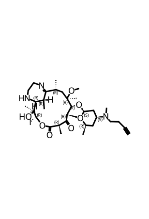 C#CCCN(C)[C@@H]1C[C@H](O[C@@H]2[C@@H](C)C(=O)[C@@H](C)C(=O)O[C@H](I)[C@@](C)(O)[C@@H]3NCCN=C([C@H](C)C[C@@]2(C)OC)[C@@H]3C)O[C@H](C)C1